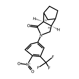 O=C1[C@H]2C3CCC(C3)[C@H]2CN1c1ccc([N+](=O)[O-])c(C(F)(F)F)c1